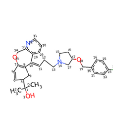 CC(C)(O)C1C=CC2=C(C1)/C(=C/CCN1CC[C@@H](OCc3ccc(Cl)cc3)C1)c1cccnc1CO2